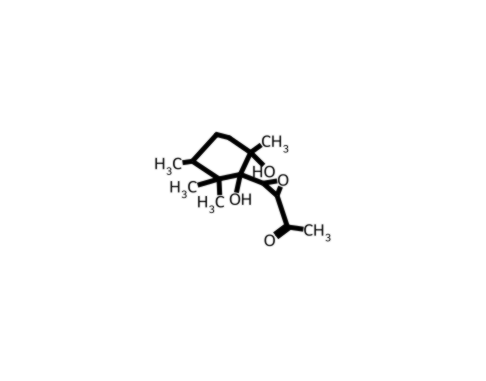 CC(=O)C1OC1C1(O)C(C)(O)CCC(C)C1(C)C